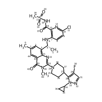 Cc1cc([C@@H](C)Nc2ccc(Cl)nc2C(=O)NS(C)(=O)=O)c2nc(N3CCC(c4c(F)cnn4C4CC4)CC3)n(C)c(=O)c2c1